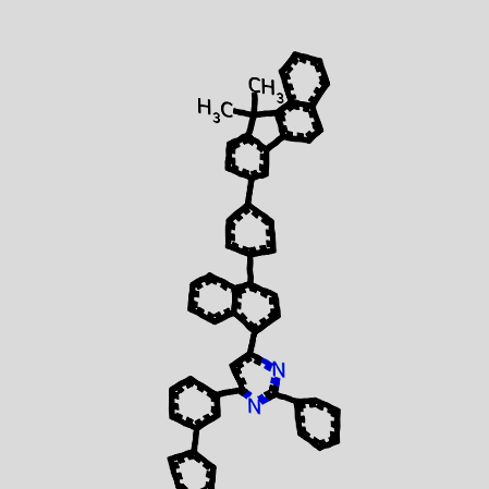 CC1(C)c2ccc(-c3ccc(-c4ccc(-c5cc(-c6cccc(-c7ccccc7)c6)nc(-c6ccccc6)n5)c5ccccc45)cc3)cc2-c2ccc3ccccc3c21